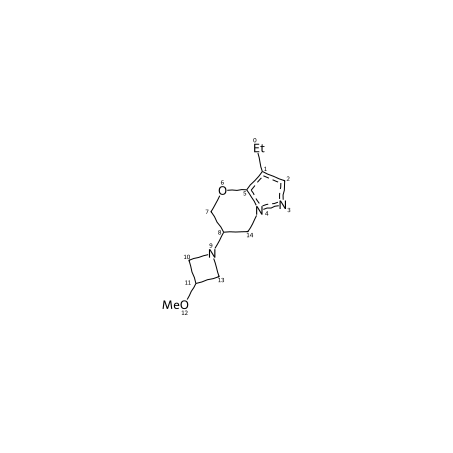 CCc1cnn2c1OCC(N1CC(OC)C1)C2